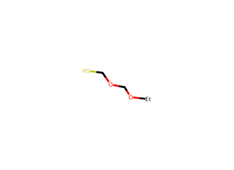 CCOCOCS